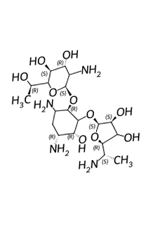 C[C@H](N)[C@H]1O[C@@H](OC2[C@H](O[C@H]3OC([C@@H](C)O)[C@@H](O)[C@H](O)C3N)C(N)C[C@@H](N)[C@H]2O)[C@@H](O)C1O